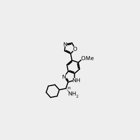 COc1cc2[nH]c([C@H](N)C3CCCCC3)nc2cc1-c1cnco1